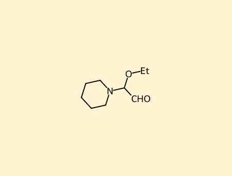 CCOC(C=O)N1CCCCC1